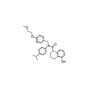 COCCOc1ccc(CN(C(=O)C2CCCc3c(O)cccc32)c2ccc(C(C)C)cc2)cn1